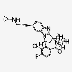 [2H]C([2H])([2H])N1C(=O)c2ccc(F)c(Cl)c2[C@H]2C[C@@H]1c1nc3ccc(C#CCNC4CC4)cc3n12